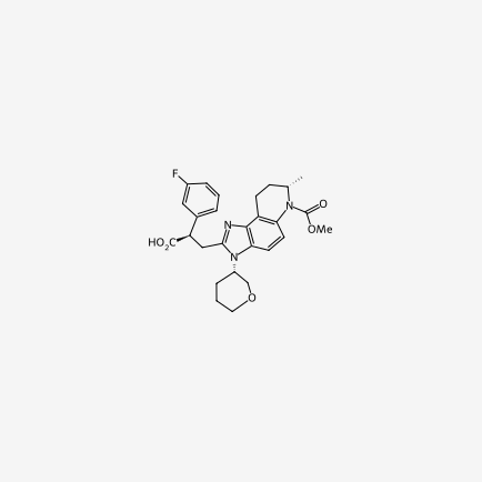 COC(=O)N1c2ccc3c(nc(C[C@@H](C(=O)O)c4cccc(F)c4)n3[C@H]3CCCOC3)c2CC[C@@H]1C